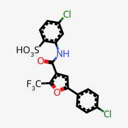 O=C(Nc1cc(Cl)ccc1S(=O)(=O)O)c1cc(-c2ccc(Cl)cc2)oc1C(F)(F)F